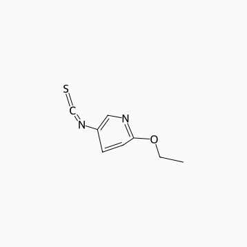 CCOc1ccc(N=C=S)cn1